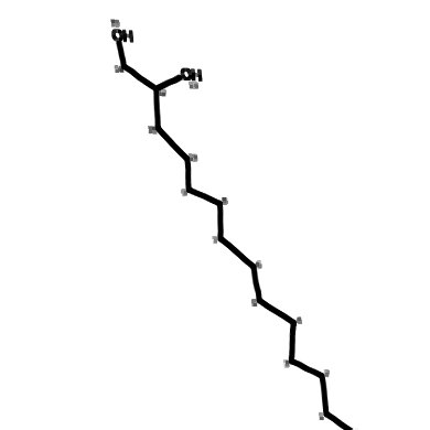 CC(C)CCCCCCCCCCCC(O)CO